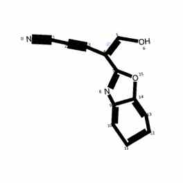 N#CC#C/C(=C/O)c1nc2ccccc2o1